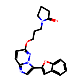 O=C1CCCN1CCCOc1ccc2ncc(-c3cc4ccccc4o3)n2n1